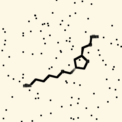 [CH2]CCCCCOC[C@@H]1C[C@@H](COCCCCCCCCCCCCCC)CO1